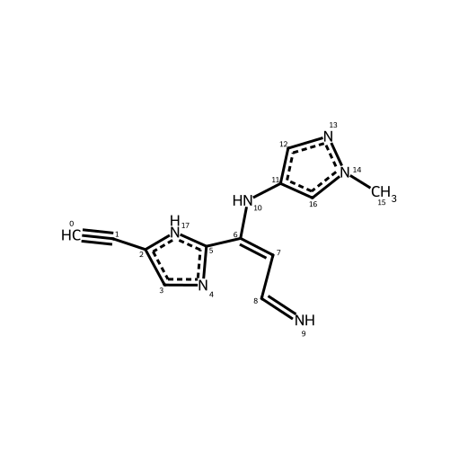 C#Cc1cnc(/C(=C\C=N)Nc2cnn(C)c2)[nH]1